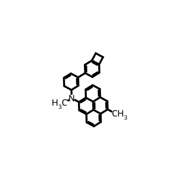 Cc1cc2cccc3c(N(C)C4C=C(c5ccc6c(c5)CC6)C=CC4)cc4cccc1c4c23